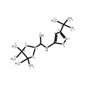 CC1(C)OB(C(O)Nc2cc(C(C)(C)C(F)(F)F)no2)OC1(C)C